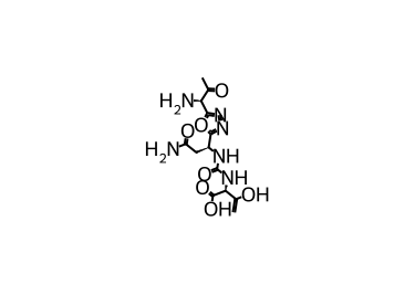 C=C(O)[C@H](NC(=O)N[C@@H](CC(N)=O)c1nnc([C@@H](N)C(C)=O)o1)C(=O)O